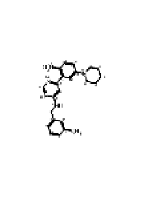 Cc1cccc(CNc2cc(-c3cc(N4CCCCC4)ccc3[N+](=O)[O-])ncn2)c1